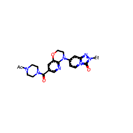 CCn1nc2cc(N3CCOc4cc(C(=O)N5CCN(C(C)=O)CC5)cnc43)ccn2c1=O